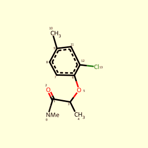 CNC(=O)C(C)Oc1ccc(C)cc1Cl